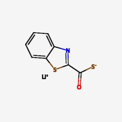 O=C([S-])c1nc2ccccc2s1.[Li+]